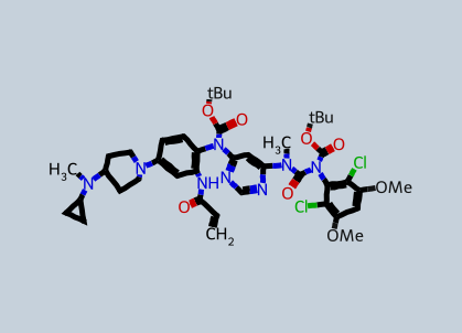 C=CC(=O)Nc1cc(N2CCC(N(C)C3CC3)CC2)ccc1N(C(=O)OC(C)(C)C)c1cc(N(C)C(=O)N(C(=O)OC(C)(C)C)c2c(Cl)c(OC)cc(OC)c2Cl)ncn1